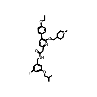 CCOc1ccc(-c2ccc(CC(=O)NCc3cc(F)cc(OCC(C)C)c3)nc2OCC2CCN(C)CC2)cc1